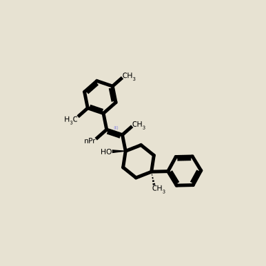 CCC/C(c1cc(C)ccc1C)=C(/C)[C@]1(O)CC[C@@](C)(c2ccccc2)CC1